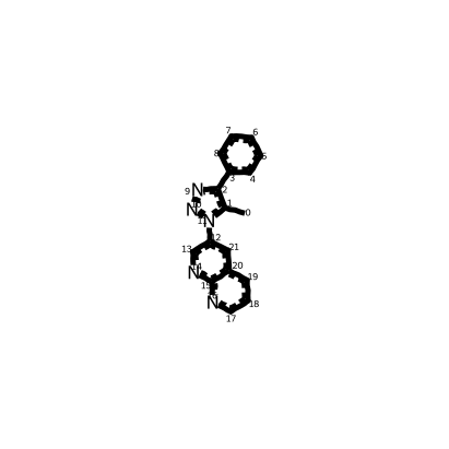 Cc1c(-c2ccccc2)nnn1-c1cnc2ncccc2c1